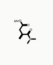 C=C(CC(=O)OC)C(=O)N(C)C